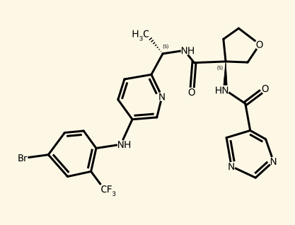 C[C@H](NC(=O)[C@]1(NC(=O)c2cncnc2)CCOC1)c1ccc(Nc2ccc(Br)cc2C(F)(F)F)cn1